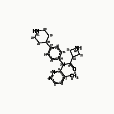 Cc1ccnnc1N(C(=O)C1CNC1)c1ccc(C2CCNCC2)cc1